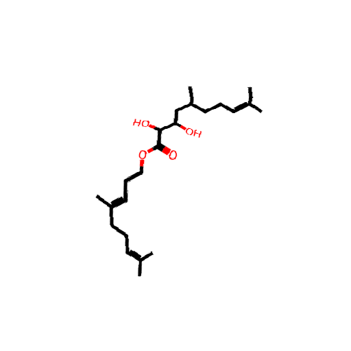 CC(C)=CCCC(C)=CCCOC(=O)C(O)C(O)CC(C)CCC=C(C)C